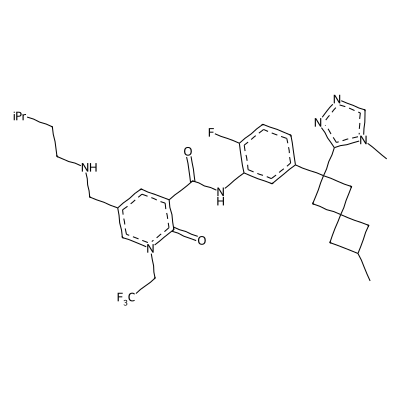 CC(C)CCNCc1cc(C(=O)Nc2cc(C3(c4nncn4C)CC4(CC(C)C4)C3)ccc2F)c(=O)n(CC(F)(F)F)c1